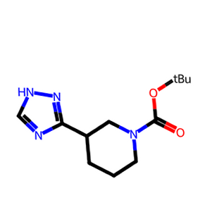 CC(C)(C)OC(=O)N1CCCC(c2nc[nH]n2)C1